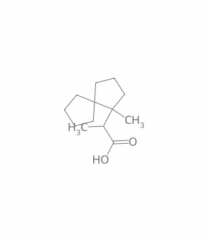 CC(C(=O)O)C1(C)CCCC12CCCC2